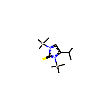 CC(C)c1cn([Si](C)(C)C)c(=S)n1[Si](C)(C)C